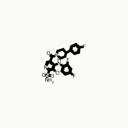 NS(=O)(=O)c1ncc(C(=O)N2CCC(c3ccc(F)cc3)CC2)c(Nc2ccc(F)cc2F)c1Cl